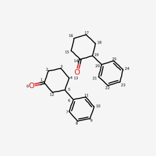 O=C1CCCC(c2ccccc2)C1.O=C1CCCCC1c1ccccc1